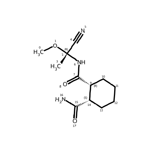 CO[C@](C)(C#N)NC(=O)[C@@H]1CCCC[C@@H]1C(N)=O